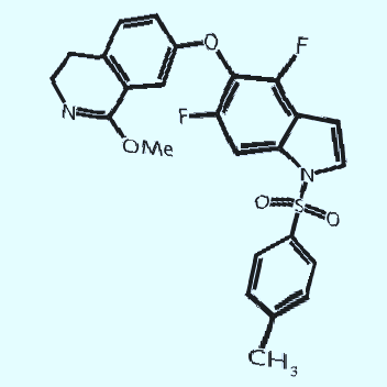 COC1=NCCc2ccc(Oc3c(F)cc4c(ccn4S(=O)(=O)c4ccc(C)cc4)c3F)cc21